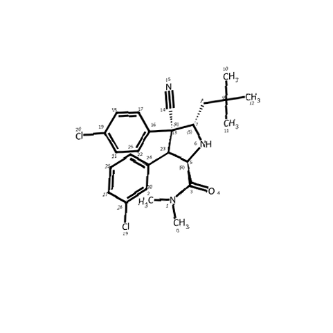 CN(C)C(=O)[C@@H]1N[C@@H](CC(C)(C)C)[C@](C#N)(c2ccc(Cl)cc2)C1c1cccc(Cl)c1